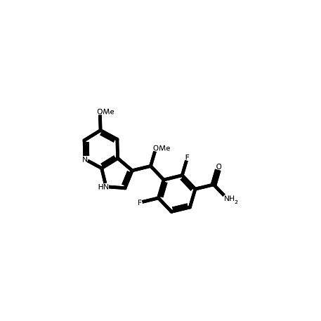 COc1cnc2[nH]cc(C(OC)c3c(F)ccc(C(N)=O)c3F)c2c1